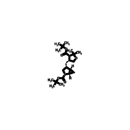 CC(C)(C)OC(=O)N1C[C@H](C[C@H]2COC(C)(C)N2C(=O)OC(C)(C)C)[C@H]2C[C@H]21